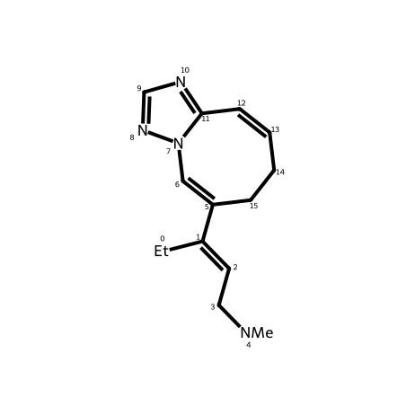 CCC(=C\CNC)/C1=C/n2ncnc2/C=C\CC1